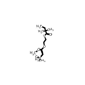 CCC(C)(C)C(=O)OCCOC(CN(C)C)OC